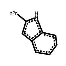 CC[CH]c1cc2ccccc2[nH]1